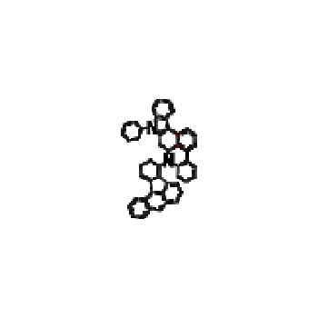 C1=CC(N(C2=C3C(=CCC2)c2c4ccccc4cc4cccc3c24)c2ccccc2-c2ccccc2)Cc2c1c1ccccc1n2-c1ccccc1